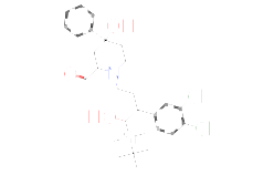 CC(C)(C)[Si](C)(C)C(O)C(CCN1CCC(O)(c2ccccc2)CC1C=O)c1ccc(Cl)c(Cl)c1